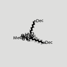 CCCCCCCCCCCCCCCCCC(=O)NC(C)[N+]1(C)CCN=C1C(=O)CCCCCCCCCCCCCCCCC.COS(=O)(=O)[O-]